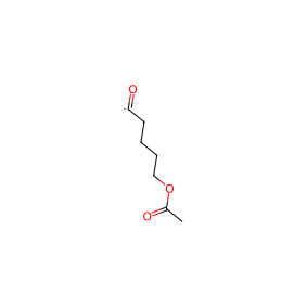 CC(=O)OCCCC[C]=O